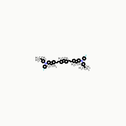 CC(C)(C)c1ccc(N(c2ccc(F)cc2)c2ccc3c(c2)C(C)(C)c2cc(/C=C/c4ccc5c(c4)C(C)(C)c4cc(/C=C/c6ccc7c(c6)C(C)(C)c6cc(N(c8ccc(F)cc8)c8ccc(C(C)(C)C)cc8)ccc6-7)ccc4-5)ccc2-3)cc1